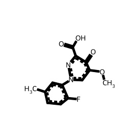 COc1cn(-c2cc(C)ccc2F)nc(C(=O)O)c1=O